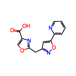 O=C(O)c1coc(Cc2cc(-c3ccccn3)on2)n1